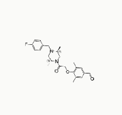 Cc1cc(C=O)cc(C)c1OCC(=O)N1C[C@H](C)N(Cc2ccc(F)cc2)C[C@H]1C